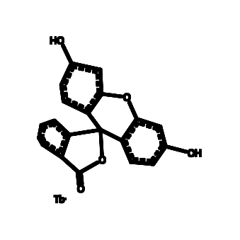 O=C1OC2(c3ccc(O)cc3Oc3cc(O)ccc32)c2ccccc21.[Tb]